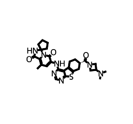 Cc1cc(Nc2ncnc3sc4c(c23)CC[C@H](C(=O)N2CC(N(C)C)C2)C4)c(=O)n2c1C(=O)NC21CCCC1